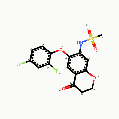 CS(=O)(=O)Nc1cc2c(cc1Oc1ccc(F)cc1F)C(=O)CCO2